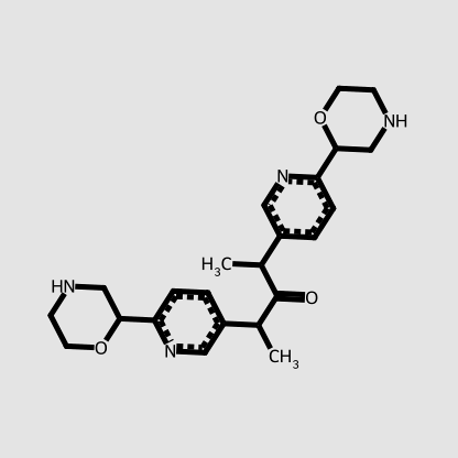 CC(C(=O)C(C)c1ccc(C2CNCCO2)nc1)c1ccc(C2CNCCO2)nc1